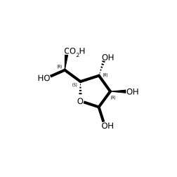 O=C(O)[C@H](O)[C@H]1OC(O)[C@H](O)[C@H]1O